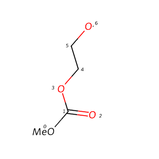 COC(=O)OCC[O]